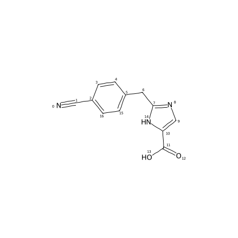 N#Cc1ccc(Cc2ncc(C(=O)O)[nH]2)cc1